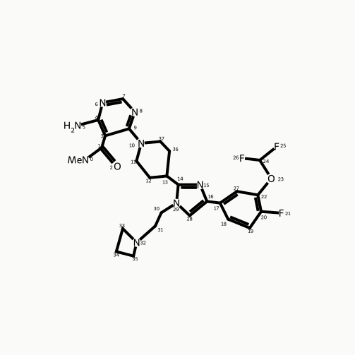 CNC(=O)c1c(N)ncnc1N1CCC(c2nc(-c3ccc(F)c(OC(F)F)c3)cn2CCN2CCC2)CC1